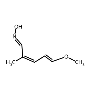 CO/C=C/C=C(C)\C=N\O